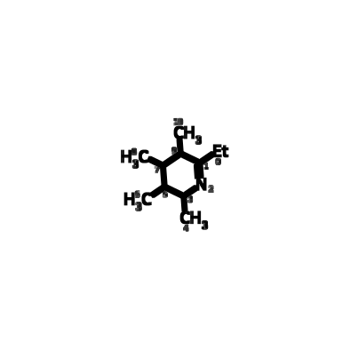 CCC1=NC(C)C(C)C(C)C1C